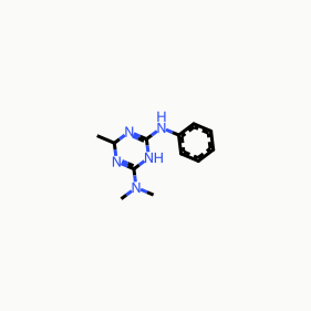 CC1N=C(Nc2ccccc2)NC(N(C)C)=N1